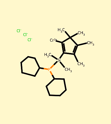 CC1=C(C)C(C)(C)[C]([Cr+3])=C1[Si](C)(C)P(C1CCCCC1)C1CCCCC1.[Cl-].[Cl-].[Cl-]